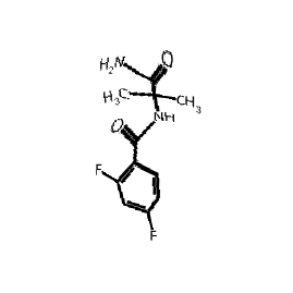 CC(C)(NC(=O)c1ccc(F)cc1F)C(N)=O